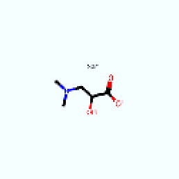 CN(C)CC(O)C(=O)[O-].[Na+]